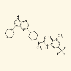 Cn1cc(C(F)(F)F)cc(NC(=O)N(C)[C@H]2CC[C@@H](c3cnc4[nH]cc(N5CCOCC5)c4n3)CC2)c1=O